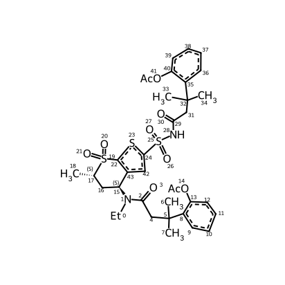 CCN(C(=O)CC(C)(C)c1ccccc1OC(C)=O)[C@H]1C[C@H](C)S(=O)(=O)c2sc(S(=O)(=O)NC(=O)CC(C)(C)c3ccccc3OC(C)=O)cc21